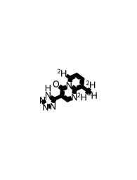 [2H]c1ccc(C([2H])([2H])[2H])c2ncc(-c3nnn[nH]3)c(=O)n12